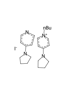 CCCC[n+]1ccc(N2CCCC2)cc1.[I-].c1cc(N2CCCC2)ccn1